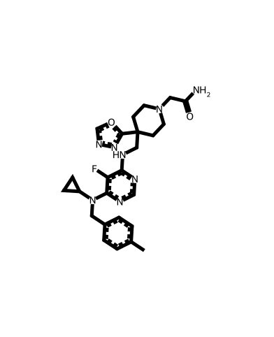 Cc1ccc(CN(c2ncnc(NCC3(c4nnco4)CCN(CC(N)=O)CC3)c2F)C2CC2)cc1